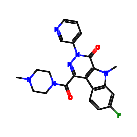 CN1CCN(C(=O)c2nn(-c3cccnc3)c(=O)c3c2c2ccc(F)cc2n3C)CC1